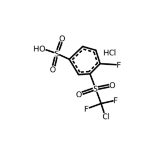 Cl.O=S(=O)(O)c1ccc(F)c(S(=O)(=O)C(F)(F)Cl)c1